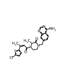 CC(=CC(=O)N1CCN(Cc2ccc3c(N)ncnc3c2)C(=O)[C@@H]1C)c1ccc(Cl)s1